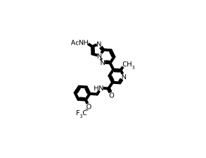 CC(=O)Nc1cn2nc(-c3cc(C(=O)NCc4ccccc4OC(F)(F)F)cnc3C)ccc2n1